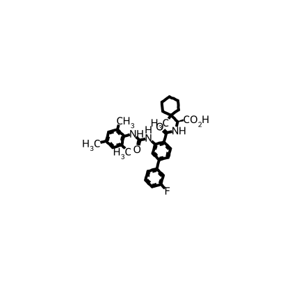 Cc1cc(C)c(NC(=O)Nc2cc(-c3cccc(F)c3)ccc2C(=O)N[C@H](C(=O)O)C2(C)CCCCC2)c(C)c1